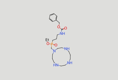 CCOP(=O)(CCCNC(=O)OCc1ccccc1)CN1CCCNCCNCCCNCC1